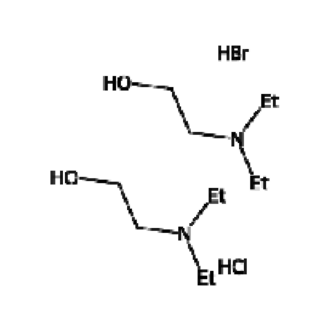 Br.CCN(CC)CCO.CCN(CC)CCO.Cl